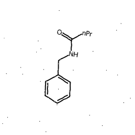 CCCC(=O)NCc1cc[c]cc1